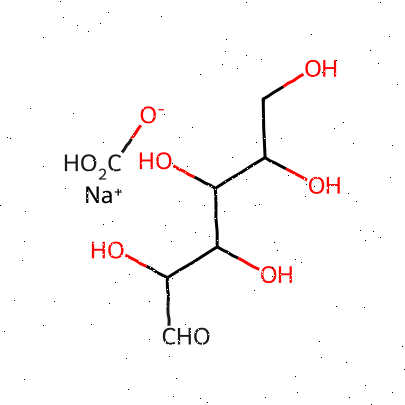 O=C([O-])O.O=CC(O)C(O)C(O)C(O)CO.[Na+]